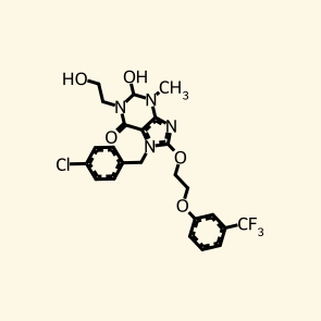 CN1c2nc(OCCOc3cccc(C(F)(F)F)c3)n(Cc3ccc(Cl)cc3)c2C(=O)N(CCO)C1O